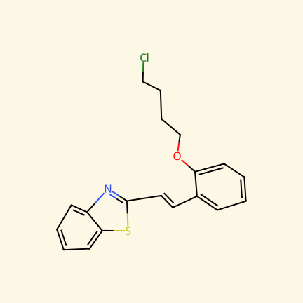 ClCCCCOc1ccccc1C=Cc1nc2ccccc2s1